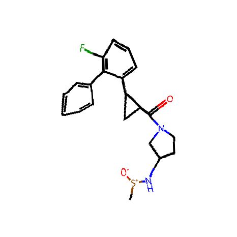 C[S+]([O-])NC1CCN(C(=O)C2CC2c2cccc(F)c2-c2ccccc2)C1